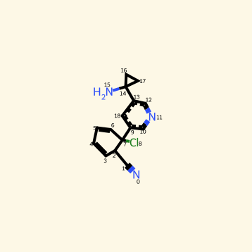 N#CC1C=CC=CC1(Cl)c1cncc(C2(N)CC2)c1